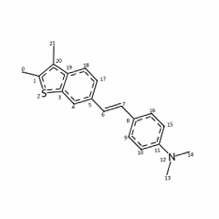 Cc1sc2cc(/C=C/c3ccc(N(C)C)cc3)ccc2c1C